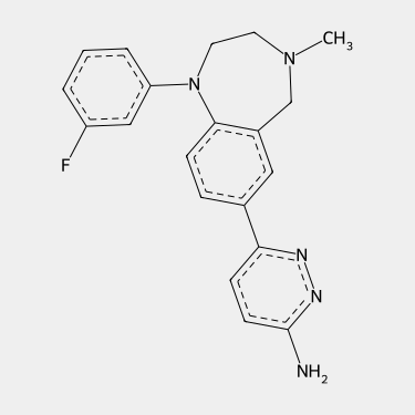 CN1CCN(c2cccc(F)c2)c2ccc(-c3ccc(N)nn3)cc2C1